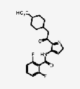 O=C(CC1CCC(C(=O)O)CC1)C1=NCC=C1NC(=O)c1c(F)cccc1F